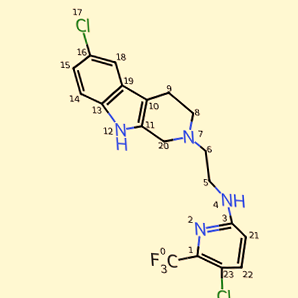 FC(F)(F)c1nc(NCCN2CCc3c([nH]c4ccc(Cl)cc34)C2)ccc1Cl